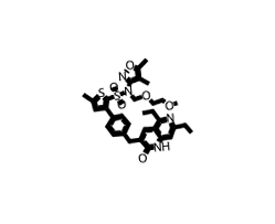 CCc1cc2[nH]c(=O)c(Cc3ccc(-c4cc(C)sc4S(=O)(=O)N(COCCOC)c4noc(C)c4C)cc3)cc2c(CC)n1